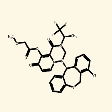 COCC(=O)Oc1c2n(ccc1=O)N([C@@H]1c3ccccc3SCc3c(Cl)cccc31)CN([C@H](C)C(F)(F)F)C2=O